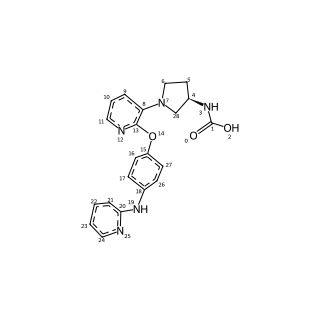 O=C(O)N[C@@H]1CCN(c2cccnc2Oc2ccc(Nc3ccccn3)cc2)C1